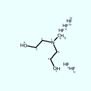 CN(CCO)CCO.F.F.F.F.F